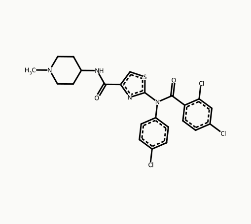 CN1CCC(NC(=O)c2csc(N(C(=O)c3ccc(Cl)cc3Cl)c3ccc(Cl)cc3)n2)CC1